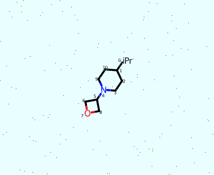 CC(C)C1CCN(C2COC2)CC1